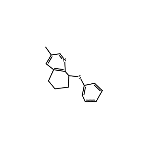 Cc1cnc2c(c1)CCCC2Sc1ccccc1